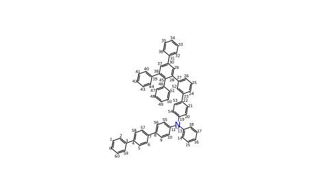 c1ccc(-c2ccc(-c3ccc(N(c4ccccc4)c4ccc(-c5cccc(-c6cc(-c7ccccc7)cc(-c7ccccc7)c6-c6ccccc6)c5)cc4)cc3)cc2)cc1